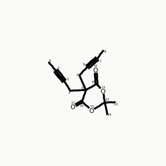 CC#CCC1(CC#CC)C(=O)OC(C)(C)OC1=O